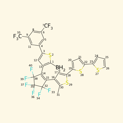 Bc1sc(-c2cc(C(F)(F)F)cc(C(F)(F)F)c2)cc1C1=C(c2cc(-c3ccc(-c4cccs4)s3)sc2C)C(F)(F)C(F)(F)C1(F)F